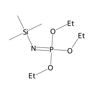 CCOP(=N[Si](C)(C)C)(OCC)OCC